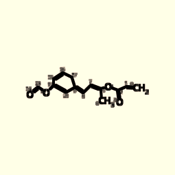 C=CC(=O)O/C(C)=C/C=C1/C=C(OC=O)C=CC1